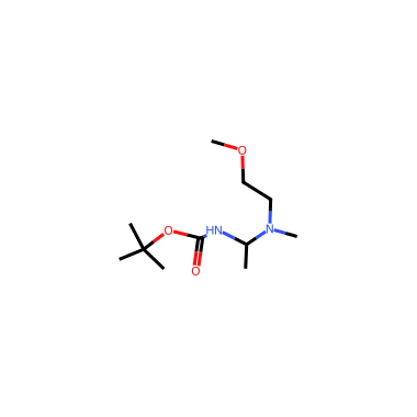 COCCN(C)C(C)NC(=O)OC(C)(C)C